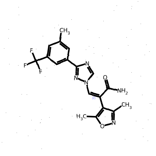 Cc1cc(-c2ncn(/C=C(\C(N)=O)c3c(C)noc3C)n2)cc(C(F)(F)F)c1